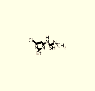 CCc1nc(Cl)cc(N/C(S)=N/C)n1